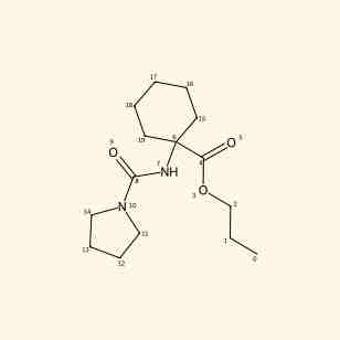 CCCOC(=O)C1(NC(=O)N2CCCC2)CCCCC1